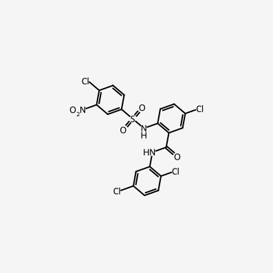 O=C(Nc1cc(Cl)ccc1Cl)c1cc(Cl)ccc1NS(=O)(=O)c1ccc(Cl)c([N+](=O)[O-])c1